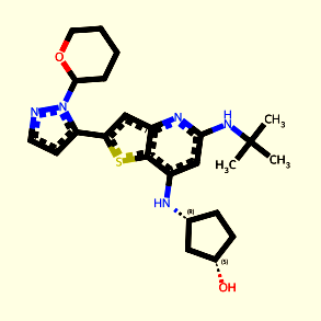 CC(C)(C)Nc1cc(N[C@@H]2CC[C@H](O)C2)c2sc(-c3ccnn3C3CCCCO3)cc2n1